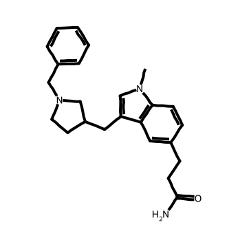 Cn1cc(CC2CCN(Cc3ccccc3)C2)c2cc(CCC(N)=O)ccc21